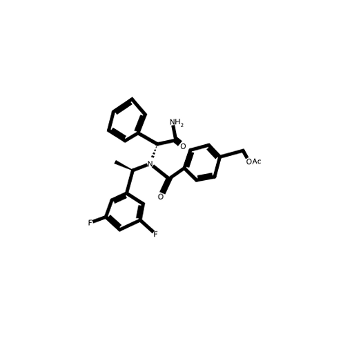 CC(=O)OCc1ccc(C(=O)N([C@H](C)c2cc(F)cc(F)c2)[C@@H](C(N)=O)c2ccccc2)cc1